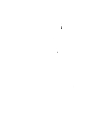 CC(C)=CCc1c2c(c(O)c3c1O[C@]14C(=C[C@@H]5CC1C(C)(C)OC4(C/C=C(\C)CO)C5=O)C3=O)C=CC(C)(C)O2